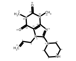 C=CCn1c(N2CCNCC2)nc2c1c(=O)n(C)c(=O)n2C